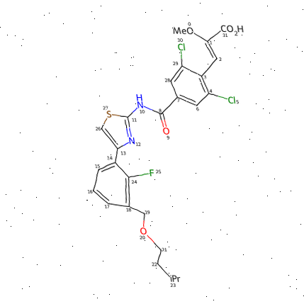 CO/C(=C\c1c(Cl)cc(C(=O)Nc2nc(-c3cccc(COCCC(C)C)c3F)cs2)cc1Cl)C(=O)O